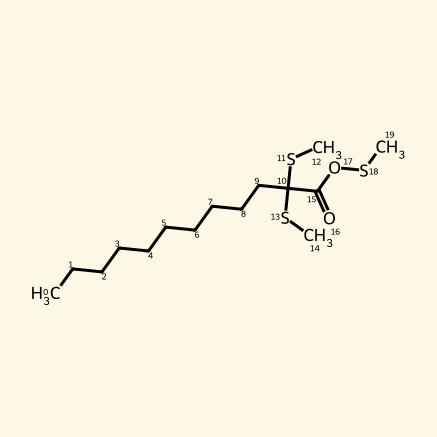 CCCCCCCCCCC(SC)(SC)C(=O)OSC